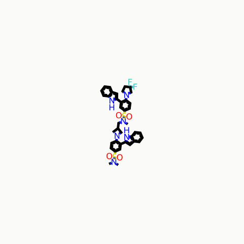 CN(C)S(=O)(=O)c1ccc(N2CC(CN(C)S(=O)(=O)c3ccc(N4CCC(F)(F)C4)c(-c4cc5ccccc5[nH]4)c3)C2)c(-c2cc3ccccc3[nH]2)c1